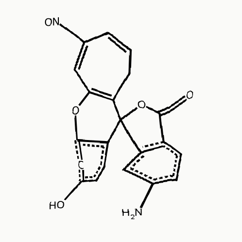 Nc1ccc2c(c1)C1(OC2=O)C2=C(C=C(N=O)C=CC2)Oc2cc(O)ccc21